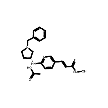 CC(=O)O.O=C(C=Cc1ccc(N[C@@H]2CCN(Cc3ccccc3)C2)nc1)NO